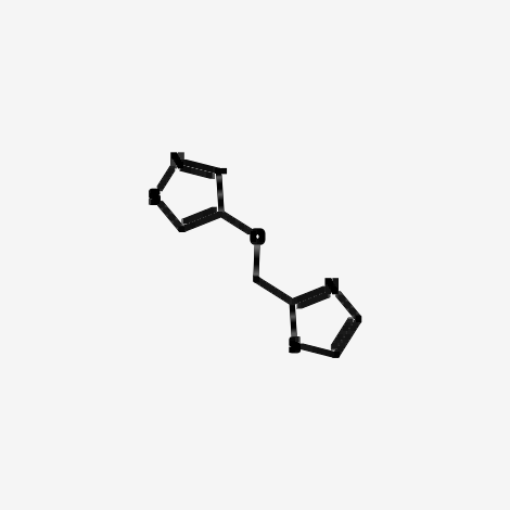 [c]1nscc1OCc1nccs1